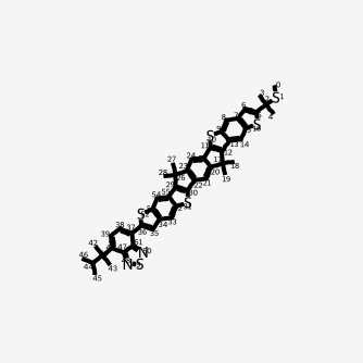 CSC(C)(C)c1cc2cc3sc4c(c3cc2s1)C(C)(C)c1cc2c(cc1-4)C(C)(C)c1c-2sc2cc3cc(-c4ccc(C(C)(C)C(C)C)c5nsnc45)sc3cc12